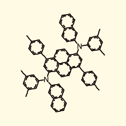 Cc1ccc(-c2cc(N(c3cc(C)cc(C)c3)c3ccc4ccccc4c3)c3ccc4c(-c5ccc(C)cc5)cc(N(c5cc(C)cc(C)c5)c5ccc6ccccc6c5)c5ccc2c3c45)cc1